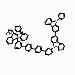 C/C=C\C1=C(C)C(c2cccc(-c3ccc(-c4ccc(-c5cccc(-n6c7ccccc7c7cc(-c8ccc9c(c8)c8ccccc8n9-c8ccccc8)ccc76)c5)cc4)cc3)c2)(c2ccccc2-c2ccccc2)c2ccccc21